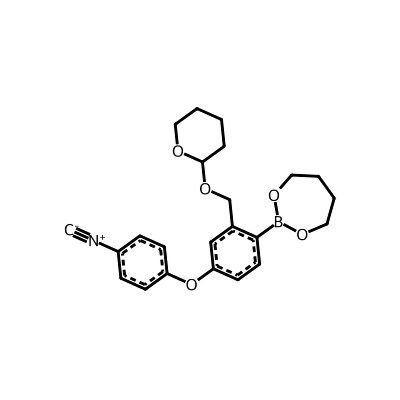 [C-]#[N+]c1ccc(Oc2ccc(B3OCCCCO3)c(COC3CCCCO3)c2)cc1